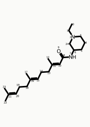 CCN1CCCC(NC(=O)/C=C(\C)CC/C=C(\C)CCC=C(C)C)C1